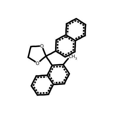 Cc1ccc2ccccc2c1C1(c2ccc3ccccc3c2)OCCO1